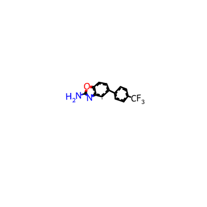 Nc1nc2[c]c(-c3ccc(C(F)(F)F)cc3)ccc2o1